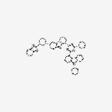 c1ccc(-c2nc(-c3cccc4c3sc3ccc(-c5cccc(-c6nc7ccccc7o6)c5)cc34)nc(-c3cccc4c3c3ccccc3n4-c3ccccc3)n2)cc1